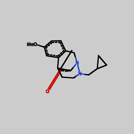 COc1ccc2c(c1)C13CCN(CC4CC4)N(C2)C1CCC(=O)C3